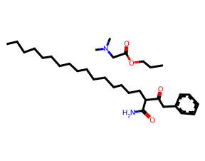 CCCCCCCCCCCCCCCCC(C(N)=O)C(=O)Cc1ccccc1.CCCOC(=O)CN(C)C